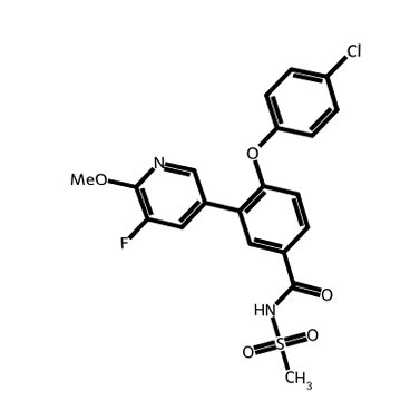 COc1ncc(-c2cc(C(=O)NS(C)(=O)=O)ccc2Oc2ccc(Cl)cc2)cc1F